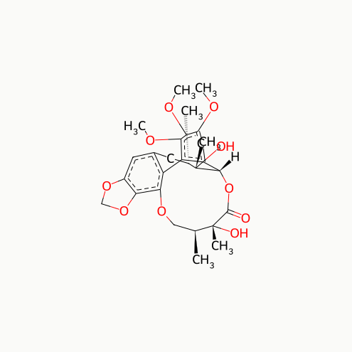 COc1cc2c(c(OC)c1OC)-c1c3cc4c(c1OC[C@H](C)[C@@](C)(O)C(=O)O[C@@H]2[C@@](C)(O)[C@@H](C)C3)OCO4